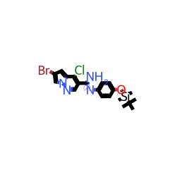 CC(C)(C)[Si](C)(C)Oc1ccc(/N=C(\N)c2cnn3cc(Br)cc3c2Cl)cc1